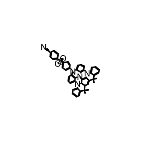 CC1(C)C2=CC3C4C5=C2N(c2ccccc21)c1cccc2c1N5c1c(cccc1N4c1ccccc1C3(C)C)N2c1ccc(S(=O)(=O)c2ccc(C#N)cc2)cc1